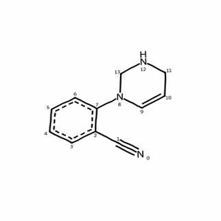 N#Cc1ccccc1N1C=CCNC1